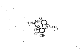 CCCC12CCC(=O)C=C1C1=C(C=CC(Cl)C1(Cl)OCC(=N)N)O2.Cl